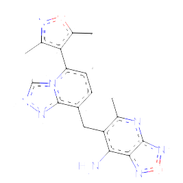 Cc1nc2nonc2c(N)c1Cc1ccc(-c2c(C)noc2C)n2cnnc12